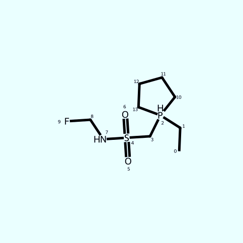 CC[PH]1(CS(=O)(=O)NCF)CCCC1